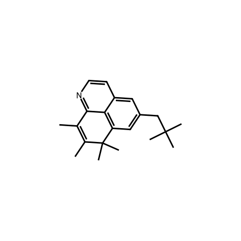 CC1=C(C)C(C)(C)c2cc(CC(C)(C)C)cc3ccnc1c23